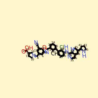 Cc1c(-c2nc3cc(CN4CC[C@@H](C(=O)O)C4)cc(C#N)c3o2)cccc1-c1cccc(Nc2nccc3cc(C4CCCN4)cnc23)c1Cl